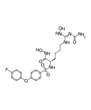 NC(=O)/N=C(/NO)NCCCC[C@@H](NS(=O)(=O)c1ccc(Oc2ccc(F)cc2)cc1)C(=O)NO